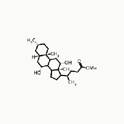 COC(=O)CCC(C)C1CCC2C3C(C[C@H](O)[C@]12C)[C@@]1(C)CC[C@@H](C)C[C@H]1C[C@H]3O